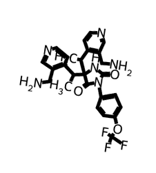 CC(c1ccncc1CN)C1(C(C)c2ccncc2CN)NC(=O)N(c2ccc(OC(F)(F)F)cc2)C1=O